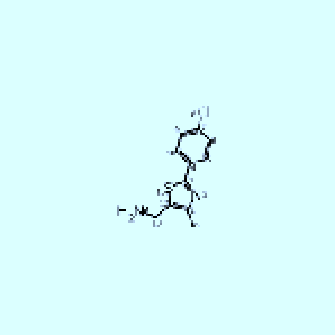 Cc1nc(-c2ccc(Cl)cc2)sc1CN